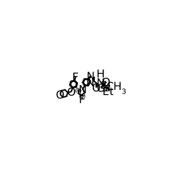 CCN(C)S(=O)(=O)NC(=O)c1cnc2ccc(N3C[C@@H](F)C[C@@H]3c3cc(F)ccc3OC3CCOCC3)cn12